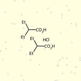 CCC(CC)C(=O)O.CCC(CC)C(=O)O.Cl